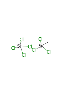 C[Si](Cl)(Cl)Cl.Cl[Si](Cl)(Cl)Cl